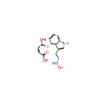 O=C(O)/C=C\C(=O)O.ONCCc1c[nH]c2ccccc12